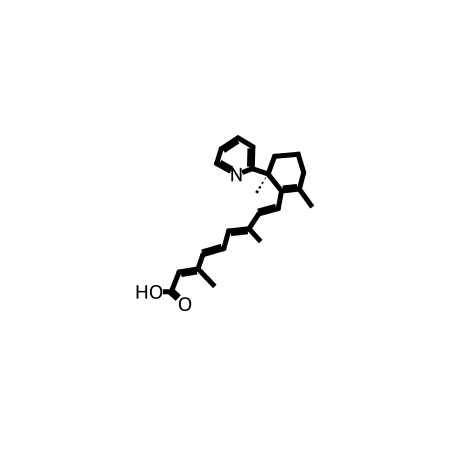 CC1=C(/C=C/C(C)=C/C=C/C(C)=C/C(=O)O)[C@@](C)(c2ccccn2)CCC1